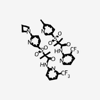 CC(C)(C(=O)Nc1cccc(C(F)(F)F)n1)S(=O)(=O)c1ccc(N2CCC2)nc1.Cc1ccc(S(=O)(=O)C(C)(C)C(=O)Nc2ncccc2C(F)(F)F)cn1